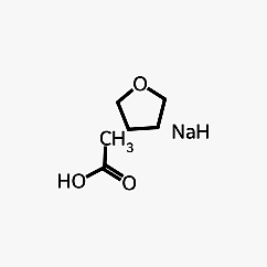 C1CCOC1.CC(=O)O.[NaH]